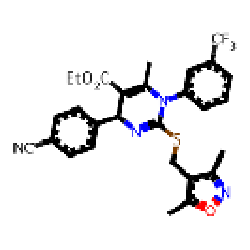 CCOC(=O)C1=C(C)N(c2cccc(C(F)(F)F)c2)C(SCc2c(C)noc2C)=NC1c1ccc(C#N)cc1